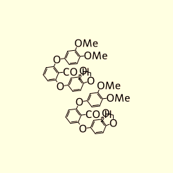 COc1ccc(Oc2cccc(Oc3ccc4c(c3)OCO4)c2C(=O)O)cc1OC.COc1ccc(Oc2cccc(Oc3ccc4c(c3)OCO4)c2C(=O)O)cc1OC